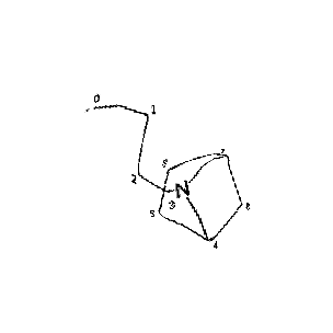 [CH2]CCN1C2CCC1C2